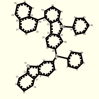 c1ccc(N(c2ccc3c(c2)oc2ccccc23)c2ccc3c4c(-c5cccc6ccccc56)cccc4n(-c4ccccc4)c3c2)cc1